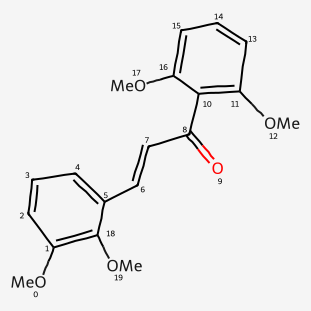 COc1cccc(/C=C/C(=O)c2c(OC)cccc2OC)c1OC